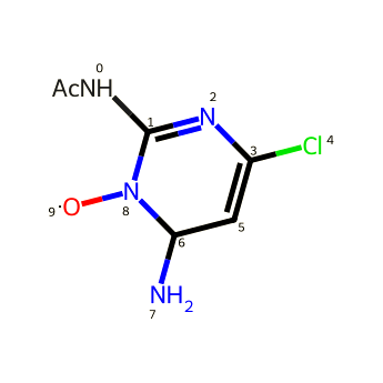 CC(=O)NC1=NC(Cl)=CC(N)N1[O]